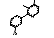 Cc1ccnc(-c2cccc(Br)c2)c1C